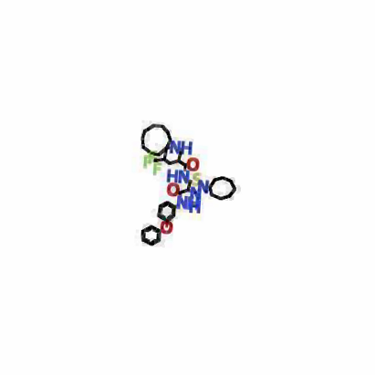 O=C(NC1SN(C2CCCCCCC2)NC1C(=O)Nc1cccc(Oc2ccccc2)c1)C1CNC2(CCCCCCCCC2)C(C(F)(F)F)C1